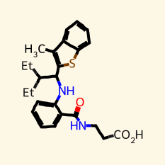 CCC(CC)C(Nc1ccccc1C(=O)NCCC(=O)O)c1sc2ccccc2c1C